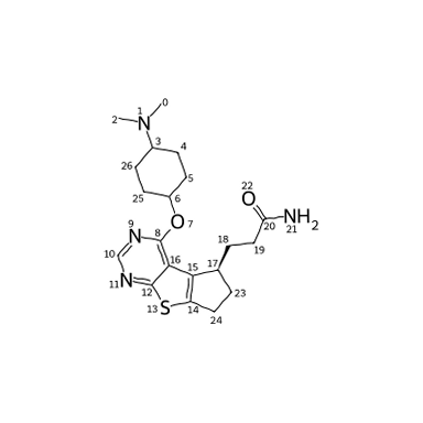 CN(C)C1CCC(Oc2ncnc3sc4c(c23)[C@@H](CCC(N)=O)CC4)CC1